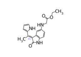 CCOC(=O)CNc1ccc2c(c1)/C(=C(/C)c1ccc[nH]1)C(=O)N2